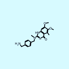 COc1cc2[nH]c(N(C)Cc3ccc(CN)cc3)nc(=O)c2c(C)c1OC